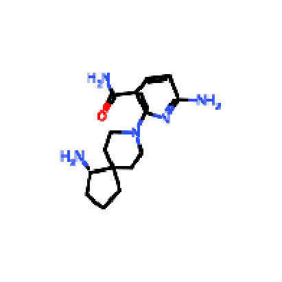 NC(=O)c1ccc(N)nc1N1CCC2(CCC[C@H]2N)CC1